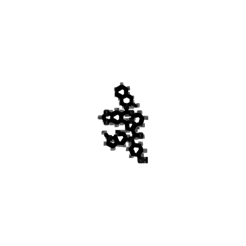 C[C@@H]1Cc2ccccc2CN1C(=O)c1cc2c(cc1-c1cc(C(=O)N(c3ccc(O)cc3)c3cnc4c(ccn4C)c3)c3ccccn13)OCO2